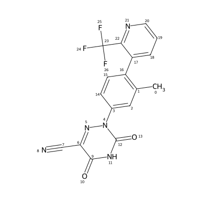 Cc1cc(-n2nc(C#N)c(=O)[nH]c2=O)ccc1-c1cccnc1C(F)(F)F